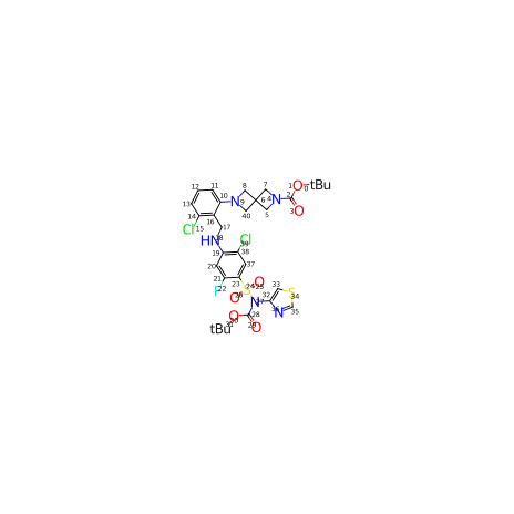 CC(C)(C)OC(=O)N1CC2(C1)CN(c1cccc(Cl)c1CNc1cc(F)c(S(=O)(=O)N(C(=O)OC(C)(C)C)c3cscn3)cc1Cl)C2